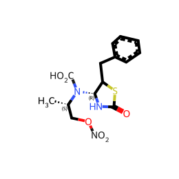 C[C@@H](CO[N+](=O)[O-])N(C(=O)O)[C@H]1NC(=O)SC1Cc1ccccc1